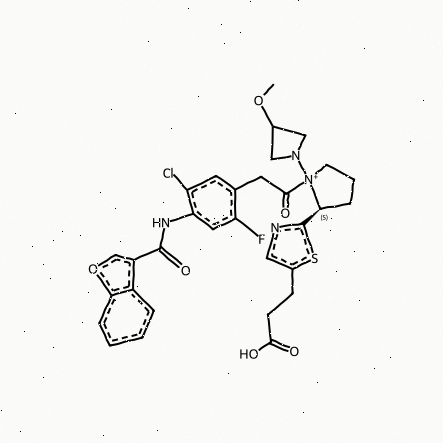 COC1CN([N+]2(C(=O)Cc3cc(Cl)c(NC(=O)c4coc5ccccc45)cc3F)CCC[C@H]2c2ncc(CCC(=O)O)s2)C1